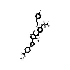 Cn1nc(-c2ccc(NS(=O)(=O)C(F)F)c(OCCc3ccc(F)cc3)c2)c2c(N)ncc(-c3cnn(C4CCC(C(=O)OC(C)(C)C)CC4)c3)c21